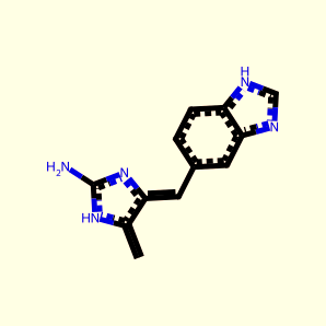 C=c1[nH]c(N)n/c1=C\c1ccc2[nH]cnc2c1